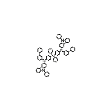 c1ccc(-c2cccc(N(c3ccc([Si](c4ccccc4)(c4ccccc4)c4ccc(N(c5cccc(-c6ccccc6)c5)c5ccc6c(c5)c5ccccc5n6-c5ccccc5)cc4)cc3)c3ccc4c(c3)c3ccccc3n4-c3ccccc3)c2)cc1